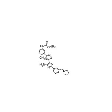 Cc1ccc(NC(=O)OC(C)(C)C)cc1-c1noc(-c2sc(-c3cccc(CN4CCCC4)c3)nc2N)n1